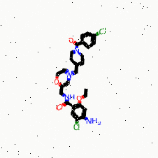 CCOc1cc(N)c(Cl)cc1C(=O)NCC1CN(CC2CCN(C(=O)c3ccc(Cl)cc3)CC2)CCO1